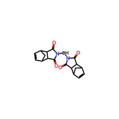 O=C1C2C3C=CC(C3)C2C(=O)N1BN1C(=O)C2C3C=CC(C3)C2C1=O